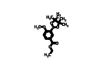 CCOC(=O)c1ccc(OC)c(B2OC(C)(C)C(C)(C)O2)c1